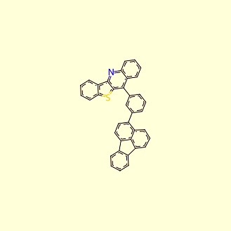 c1cc(-c2ccc3c4c(cccc24)-c2ccccc2-3)cc(-c2c3ccccc3nc3c2sc2ccccc23)c1